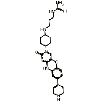 N=C(N)NCCCNC1CCC(n2cc3c(nc2=O)Nc2cc(C4=CCNCC4)ccc2O3)CC1